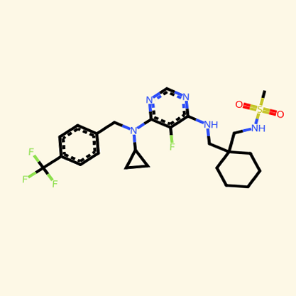 CS(=O)(=O)NCC1(CNc2ncnc(N(Cc3ccc(C(F)(F)F)cc3)C3CC3)c2F)CCCCC1